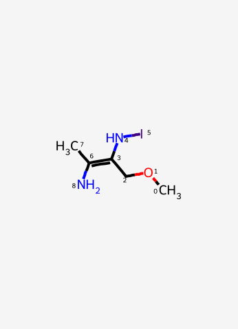 COC/C(NI)=C(/C)N